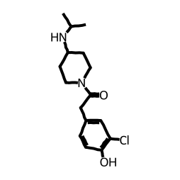 CC(C)NC1CCN(C(=O)Cc2ccc(O)c(Cl)c2)CC1